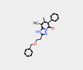 Cc1c(-c2ccccc2)c(=O)n2nc(CCOCc3ccccc3)[nH]c2c1C#N